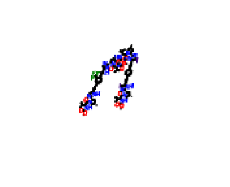 COC(=O)NC(C(=O)N1C[C@@H](C)C[C@H]1c1ncc(C#Cc2ccc(C#Cc3cnc([C@@H]4C[C@H](C)CN4C(=O)C(C(C)C)N(OC(=O)N[C@H](C(=O)N4C[C@@H](C)C[C@H]4c4nc(I)c(C#Cc5ccc(C#Cc6[nH]c([C@@H]7C[C@H](C)CN7C(=O)[C@@H](NC(=O)OC)C(C)C)nc6I)cc5)[nH]4)C(C)C)C(=O)OC)[nH]3)c(C(F)(F)F)c2)[nH]1)C(C)C